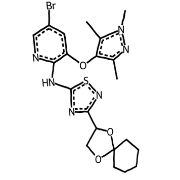 Cc1nn(C)c(C)c1Oc1cc(Br)cnc1Nc1nc(C2COC3(CCCCC3)O2)ns1